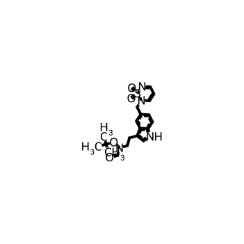 CC(C)(C)ON(C=O)CCc1c[nH]c2ccc(CN3C=CC=NS3(=O)=O)cc12